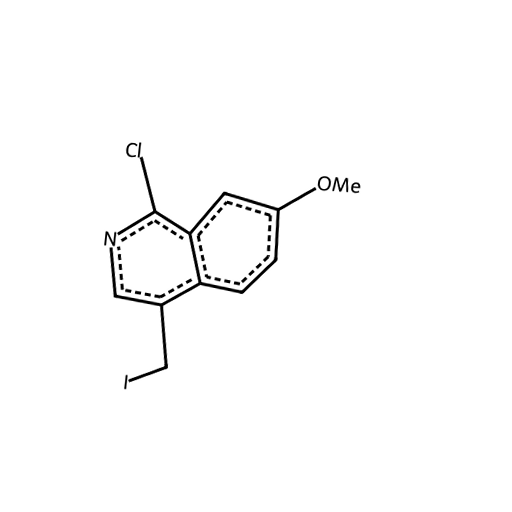 COc1ccc2c(CI)cnc(Cl)c2c1